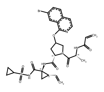 C=CC(=O)N[C@H](C)C(=O)N1CC(Oc2nccc3ccc(Br)cc23)C[C@H]1C(=O)N[C@]1(C(=O)NS(=O)(=O)C2CC2)C[C@H]1C=C